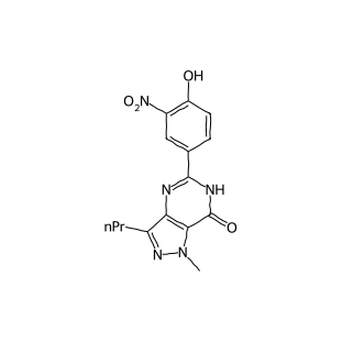 CCCc1nn(C)c2c(=O)[nH]c(-c3ccc(O)c([N+](=O)[O-])c3)nc12